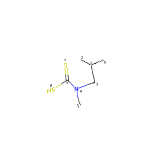 CC(C)CN(C)C(=S)S